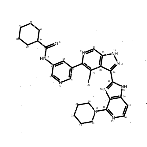 O=C(Nc1cncc(-c2ncc3[nH]nc(-c4nc5c(N6CCCCC6)nccc5[nH]4)c3c2F)c1)C1CCCCC1